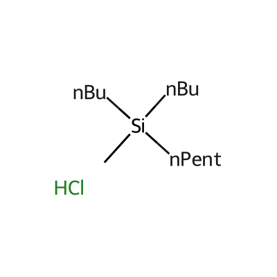 CCCCC[Si](C)(CCCC)CCCC.Cl